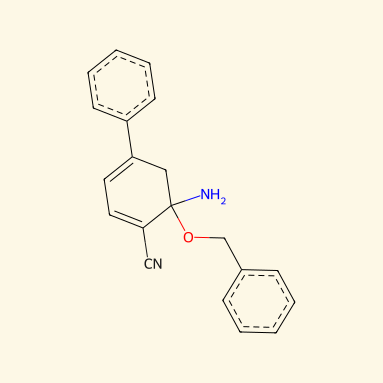 N#CC1=CC=C(c2ccccc2)CC1(N)OCc1ccccc1